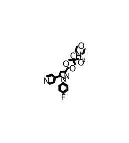 CC1(C(=O)N2CCOCC2)COC(C2=NN(c3ccc(F)cc3)C(c3ccncc3)C2)OC1